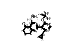 [2H]C([2H])([2H])Oc1ncnc(C2CC2)c1-c1nc2c(c(NN)n1)C(=O)CCC2